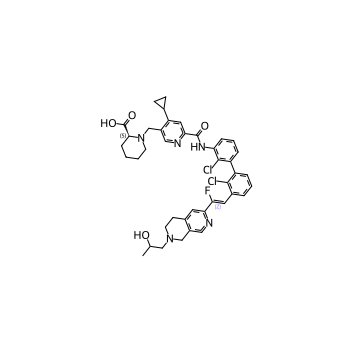 CC(O)CN1CCc2cc(/C(F)=C/c3cccc(-c4cccc(NC(=O)c5cc(C6CC6)c(CN6CCCC[C@H]6C(=O)O)cn5)c4Cl)c3Cl)ncc2C1